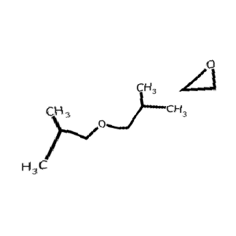 C1CO1.CC(C)COCC(C)C